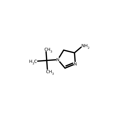 CC(C)(C)N1C=NC(N)C1